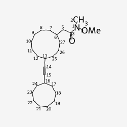 CON(C)C(=O)CC1CCCCCCC(C#CC2CCCCCCCC2)CCC1